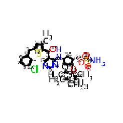 Cc1cc(Cc2cccc(Cl)c2)sc1C(=O)c1cncnc1N[C@@H]1C[C@H](COS(N)(=O)=O)[C@@H](O[Si](C(C)C)(C(C)C)C(C)C)C1